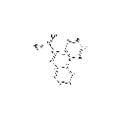 NC(=O)/C(=C/c1ccccc1)c1ccccc1